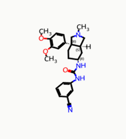 COc1ccc([C@@]23CC[C@@H](NC(=O)Nc4cccc(C#N)c4)C[C@@H]2CN(C)C3)cc1OC